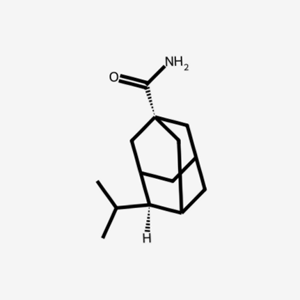 CC(C)[C@H]1C2CC3CC1C[C@](C(N)=O)(C3)C2